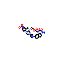 CCOC(=O)Cn1c2c([nH]c(=O)c1=O)CCC1=C2C=C(n2ccc(N3CCN(c4ccc([N+](=O)[O-])cc4)CC3)c2)CC1